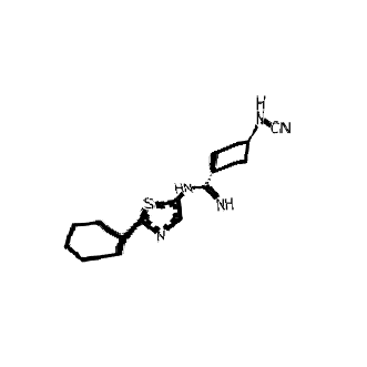 N#CN[C@H]1C[C@H](C(=N)Nc2cnc(C3CCCCC3)s2)C1